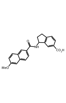 COc1ccc2cc(C(=O)NC3CCc4ccc(C(=O)O)cc43)ccc2c1